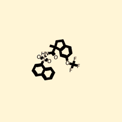 CC1(C(=O)NS(=O)(=O)c2cccc3ccccc23)CCc2ccc(OC(F)(F)F)cc21